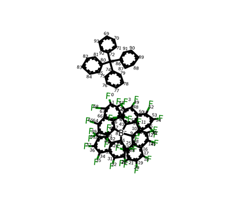 Fc1c(F)c(F)c2c([B-](c3c(F)c(F)c(F)c4c(F)c(F)c(F)c(F)c34)(c3c(F)c(F)c(F)c4c(F)c(F)c(F)c(F)c34)c3c(F)c(F)c(F)c4c(F)c(F)c(F)c(F)c34)c(F)c(F)c(F)c2c1F.c1ccc(C(c2ccccc2)(c2ccccc2)c2ccccc2)cc1